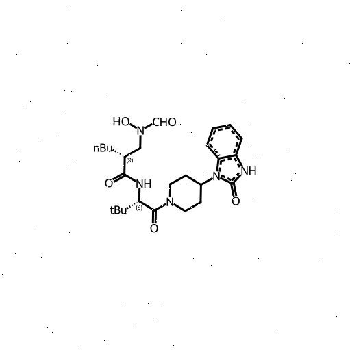 CCCC[C@H](CN(O)C=O)C(=O)N[C@H](C(=O)N1CCC(n2c(=O)[nH]c3ccccc32)CC1)C(C)(C)C